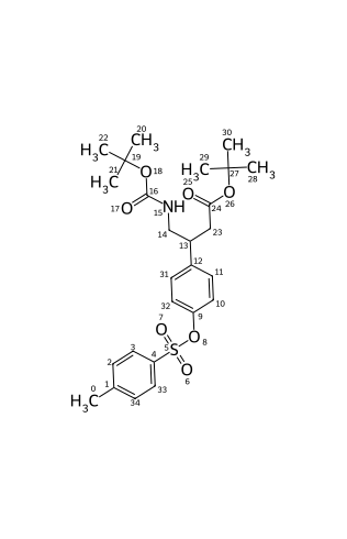 Cc1ccc(S(=O)(=O)Oc2ccc(C(CNC(=O)OC(C)(C)C)CC(=O)OC(C)(C)C)cc2)cc1